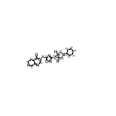 O=c1c2ccncc2ncn1Cc1nc([C@H]2[C@@H]3CN(c4ccccc4)C[C@@H]32)no1